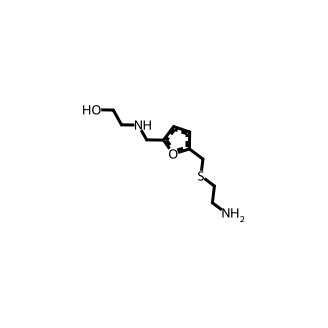 NCCSCc1ccc(CNCCO)o1